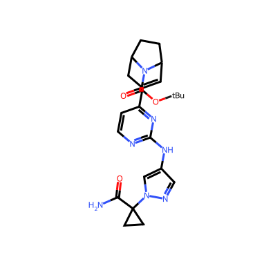 CC(C)(C)OC(=O)N1C2C=C(c3ccnc(Nc4cnn(C5(C(N)=O)CC5)c4)n3)CC1CC2